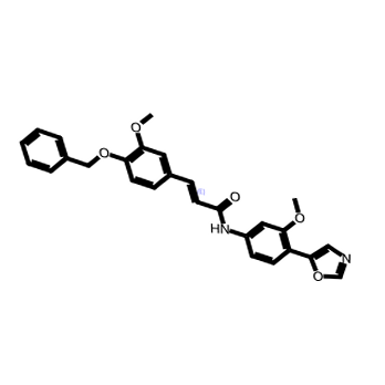 COc1cc(/C=C/C(=O)Nc2ccc(-c3cnco3)c(OC)c2)ccc1OCc1ccccc1